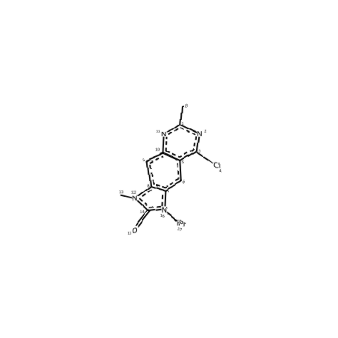 Cc1nc(Cl)c2cc3c(cc2n1)n(C)c(=O)n3C(C)C